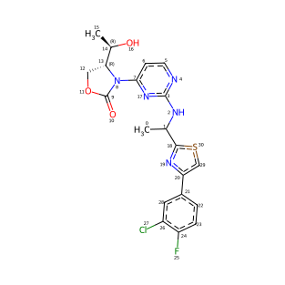 CC(Nc1nccc(N2C(=O)OC[C@@H]2[C@@H](C)O)n1)c1nc(-c2ccc(F)c(Cl)c2)cs1